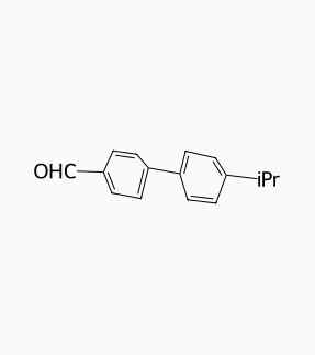 CC(C)c1ccc(-c2ccc(C=O)cc2)cc1